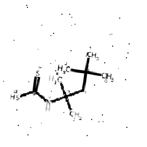 CC(C)(C)CC(C)(C)NC(=S)S